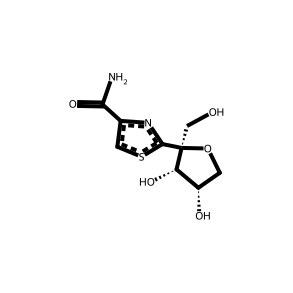 NC(=O)c1csc([C@@]2(CO)OC[C@H](O)[C@@H]2O)n1